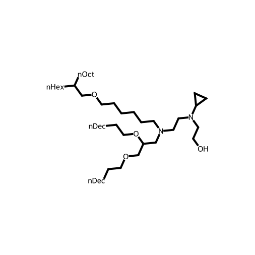 CCCCCCCCCCCCOCC(CN(CCCCCCOCC(CCCCCC)CCCCCCCC)CCN(CCO)C1CC1)OCCCCCCCCCCCC